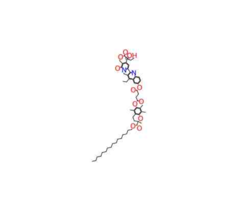 CCCCCCCCCCCCCCCCOC(=O)C1(C)CCc2c(C)c(OC(=O)CCC(=O)Oc3ccc4nc5c(c(CC)c4c3)Cn3c-5cc4c(c3=O)COC(=O)[C@]4(O)CC)c(C)c(C)c2O1